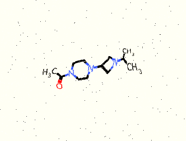 CC(=O)N1CCN(C2CN(C(C)C)C2)CC1